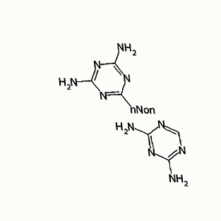 CCCCCCCCCc1nc(N)nc(N)n1.Nc1ncnc(N)n1